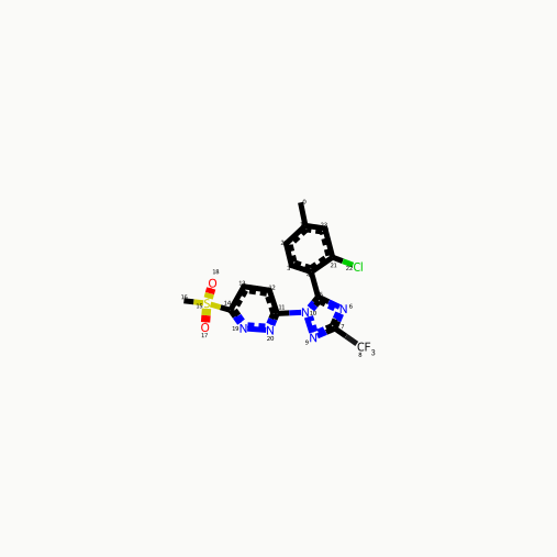 Cc1ccc(-c2nc(C(F)(F)F)nn2-c2ccc(S(C)(=O)=O)nn2)c(Cl)c1